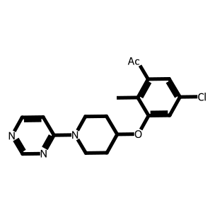 CC(=O)c1cc(Cl)cc(OC2CCN(c3ccncn3)CC2)c1C